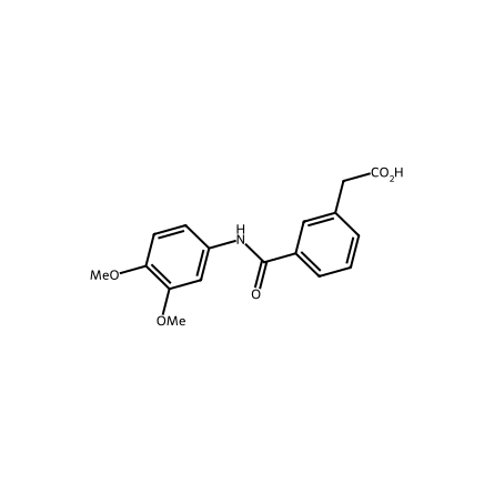 COc1ccc(NC(=O)c2cccc(CC(=O)O)c2)cc1OC